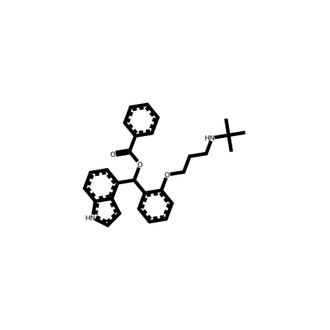 CC(C)(C)NCCCOc1ccccc1C(OC(=O)c1ccccc1)c1cccc2[nH]ccc12